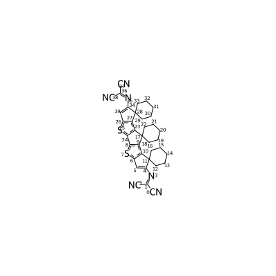 N#CC(C#N)=NC1=Cc2sc3c(c2C12CCCCC2)C1(CCCCC1)c1c-3sc2c1C1(CCCCC1)C(N=C(C#N)C#N)=C2